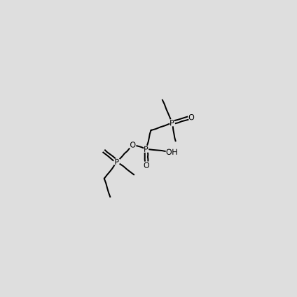 C=P(C)(CC)OP(=O)(O)CP(C)(C)=O